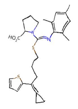 Cc1cc(C)c(/N=C(/SCCCC(=C2CC2)c2cccs2)N2CCCC2C(=O)O)c(C)c1